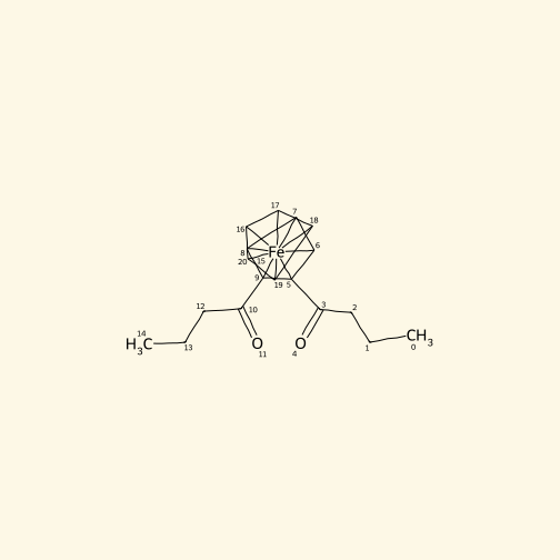 CCCC(=O)[C]12[CH]3[CH]4[CH]5[C]1(C(=O)CCC)[Fe]43521678[CH]2[CH]1[CH]6[CH]7[CH]28